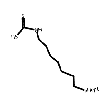 CCCCCCCCCCCCCCNC(=S)S